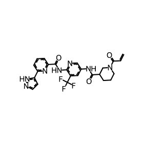 C=CC(=O)N1CCCC(C(=O)Nc2cnc(NC(=O)c3cccc(-c4ccn[nH]4)n3)c(C(F)(F)F)c2)C1